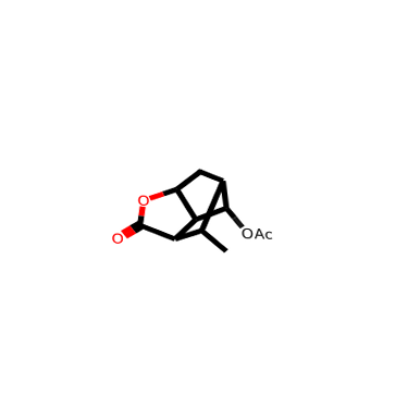 CC(=O)OC1C2CC3OC(=O)C(C2C)C31